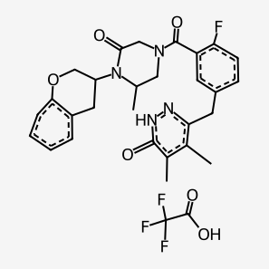 Cc1c(Cc2ccc(F)c(C(=O)N3CC(=O)N(C4COc5ccccc5C4)C(C)C3)c2)n[nH]c(=O)c1C.O=C(O)C(F)(F)F